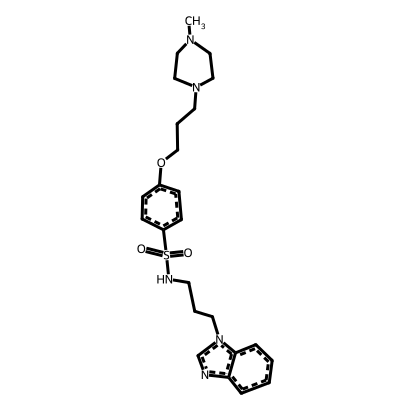 CN1CCN(CCCOc2ccc(S(=O)(=O)NCCCn3cnc4ccccc43)cc2)CC1